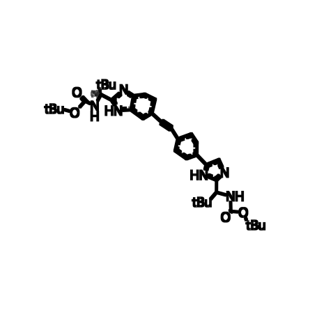 CC(C)(C)OC(=O)NC(c1ncc(-c2ccc(C#Cc3ccc4nc([C@@H](NC(=O)OC(C)(C)C)C(C)(C)C)[nH]c4c3)cc2)[nH]1)C(C)(C)C